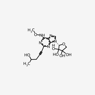 CONc1nc(C#CCC(C)O)nc2c1ncn2[C@@H]1OCC(O)(O)C1(O)O